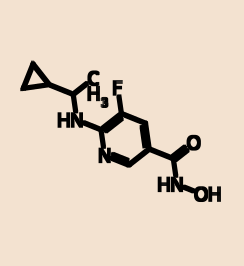 CC(Nc1ncc(C(=O)NO)cc1F)C1CC1